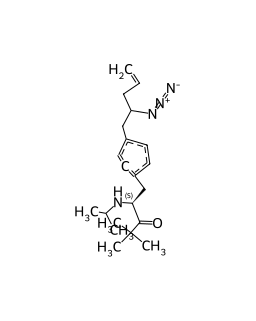 C=CCC(Cc1ccc(C[C@H](NC(C)C)C(=O)C(C)(C)C)cc1)N=[N+]=[N-]